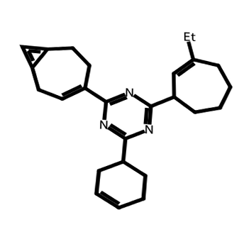 CCC1=CC(c2nc(C3=CCC4=C=C4CC3)nc(C3CC=CCC3)n2)CCCC1